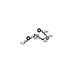 CC(NC(=O)CCC/C=C\C[C@@H]1[C@@H](CC[C@@H](O)CCc2ccccc2)[C@H](O)C[C@@H]1O)C(=O)OCc1cccc(CO[N+](=O)[O-])c1